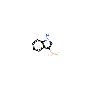 FBc1c[nH]c2ccccc12